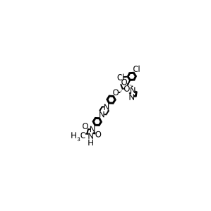 CC1NC(=O)N(c2ccc(N3CCN(c4ccc(OC[C@@H]5CO[C@@](Cn6ccnc6)(c6ccc(Cl)cc6Cl)O5)cc4)CC3)cc2)C1=O